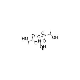 CC(O)C(=O)O[N+](O)(O)OC(=O)C(C)O.[Ti]